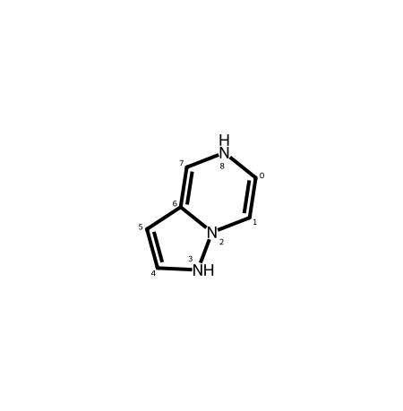 C1=CN2NC=CC2=CN1